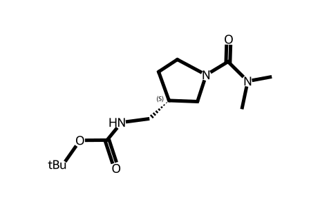 CN(C)C(=O)N1CC[C@@H](CNC(=O)OC(C)(C)C)C1